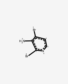 Nc1c(Br)ccnc1Br